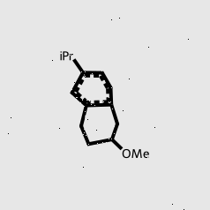 COC1CCc2cc(C(C)C)ccc2C1